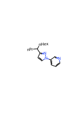 CCCCCCC(CCC)c1ccn(-c2cccnc2)n1